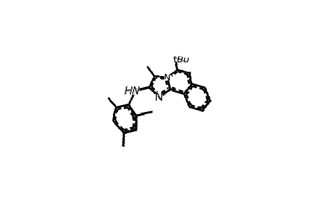 Cc1cc(C)c(Nc2nc3c4ccccc4cc(C(C)(C)C)n3c2C)c(C)c1